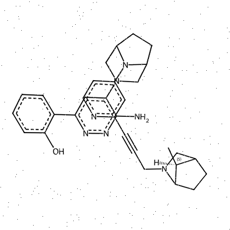 C[C@H]1C2CCC1N(CC#Cc1cc(N3C4CCC3CN(c3cc(-c5ccccc5O)nnc3N)C4)ccn1)C2